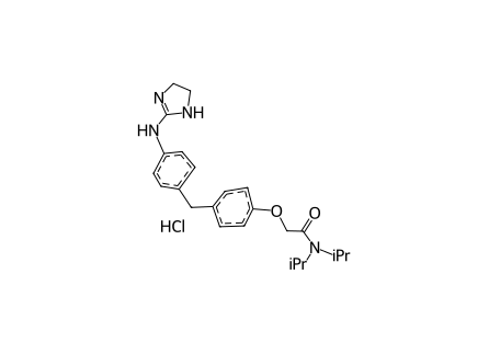 CC(C)N(C(=O)COc1ccc(Cc2ccc(NC3=NCCN3)cc2)cc1)C(C)C.Cl